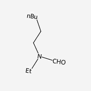 [CH2]CN(C=O)CCCCCC